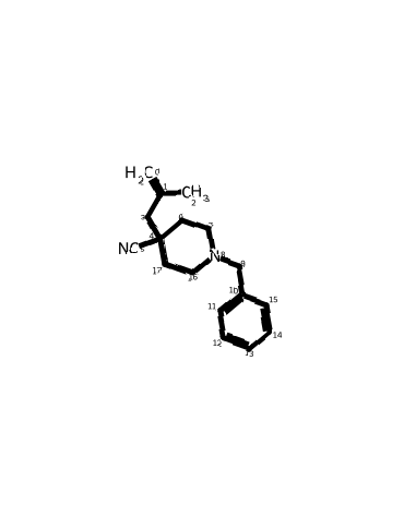 C=C(C)CC1(C#N)CCN(Cc2ccccc2)CC1